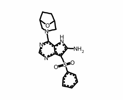 Nc1[nH]c2c(N3CC4CCC(C3)O4)ncnc2c1S(=O)(=O)c1ccccc1